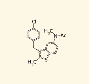 CC(=O)N(C)c1ccc2sc(C)[n+](Cc3ccc(Cl)cc3)c2c1